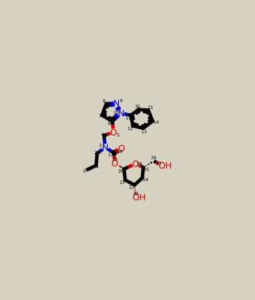 CCCN(COc1ccnn1-c1ccccc1)C(=O)O[C@H]1C[C@@H](O)C[C@@H](CO)O1